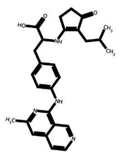 Cc1cc2ccncc2c(Nc2ccc(CC(NC3=C(CC(C)C)C(=O)CC3)C(=O)O)cc2)n1